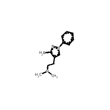 CN(C)CCc1cn(-c2ccccc2)nc1N